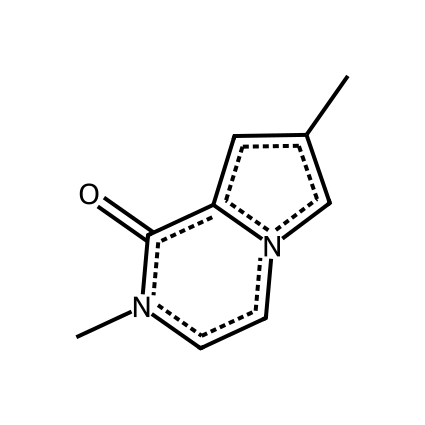 Cc1cc2c(=O)n(C)ccn2c1